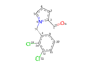 O=Cc1cccn1Cc1cccc(Cl)c1Cl